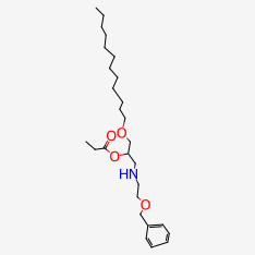 CCCCCCCCCCCCOCC(CNCCOCc1ccccc1)OC(=O)CC